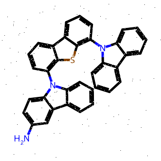 Nc1ccc2c(c1)c1ccccc1n2-c1cccc2c1sc1c(-n3c4ccccc4c4ccccc43)cccc12